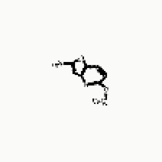 CCCc1cc2nc(OC=O)ccc2o1